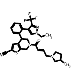 CCn1cc(-c2ccccc2C2CN(C(=O)/C=C/CN3CCC(C)C3)Cc3sc(C#N)cc32)c(C(F)(F)F)n1